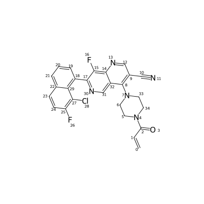 C=CC(=O)N1CCN(c2c(C#N)cnc3c(F)c(-c4cccc5ccc(F)c(Cl)c45)ncc23)CC1